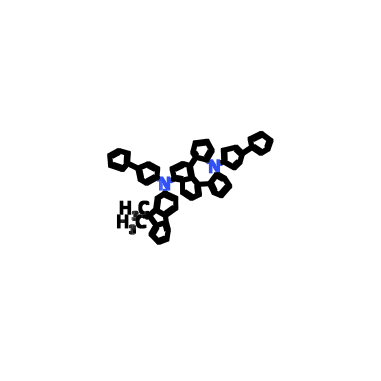 CC1(C)c2ccccc2-c2ccc(N(c3ccc(-c4ccccc4)cc3)c3ccc4c5c(cccc35)-c3ccccc3N(c3ccc(-c5ccccc5)cc3)c3ccccc3-4)cc21